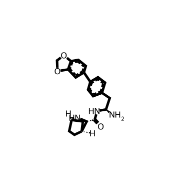 N[C@H](Cc1ccc(-c2ccc3c(c2)OCO3)cc1)NC(=O)[C@H]1N[C@@H]2CC[C@H]1C2